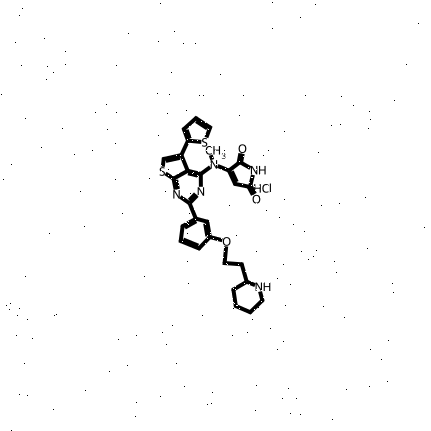 CN(C1=CC(=O)NC1=O)c1nc(-c2cccc(OCCC3CCCCN3)c2)nc2scc(-c3cccs3)c12.Cl